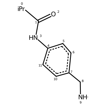 CC(C)C(=O)Nc1ccc(C[NH])cc1